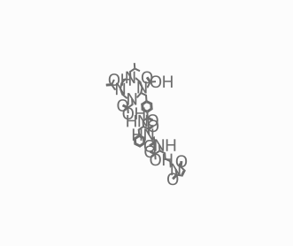 C=C(O)CN1CCN(CC(C)C)CCN(CC(=O)O)C(Cc2ccc(C(=O)NC(Cc3ccccc3)C(=O)NCC(=O)NC(CCCCN3C(=O)C=CC3=O)C(=O)O)cc2)CN(CC(=O)O)CC1